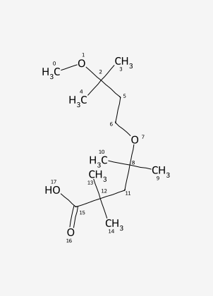 COC(C)(C)CCOC(C)(C)CC(C)(C)C(=O)O